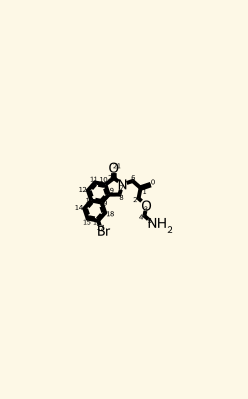 C=C(COCN)CN1Cc2c(ccc3ccc(Br)cc23)C1=O